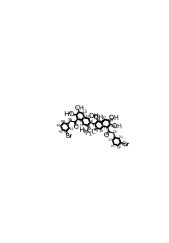 Cc1cc2c(O)c(-c3c(C)cc4c(C(=O)Cc5cccc(Br)c5)c(O)c(O)cc4c3O)c(C)cc2c(C(=O)Cc2cccc(Br)c2)c1O